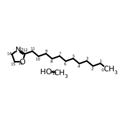 CCCCCCCCCCCCC1=NCCO1.CO